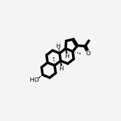 CC(=O)C1=CC[C@H]2[C@@H]3CCC4C[C@@H](O)CC[C@]4(C)[C@H]3CC[C@]12C